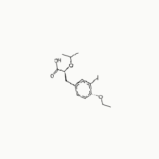 CCOc1ccc(C[C@H](OC(C)C)C(=O)O)cc1I